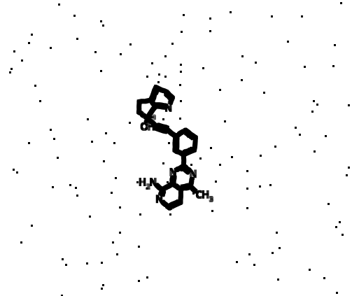 Cc1nc(-c2cccc(C#C[C@]3(O)CCc4cccnc43)c2)nc2c(N)nccc12